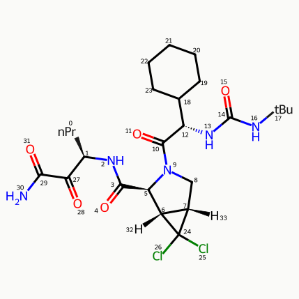 CCC[C@@H](NC(=O)[C@@H]1[C@@H]2[C@H](CN1C(=O)[C@@H](NC(=O)NC(C)(C)C)C1CCCCC1)C2(Cl)Cl)C(=O)C(N)=O